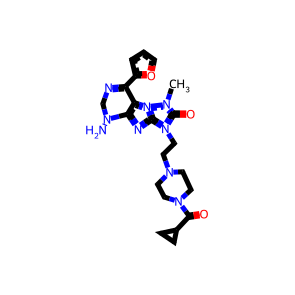 Cn1c(=O)n(CCN2CCN(C(=O)C3CC3)CC2)c2nc3c(n21)C(c1ccco1)=NCN3N